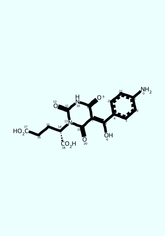 Nc1ccc(C(O)=C2C(=O)NC(=O)N([C@@H](CCC(=O)O)C(=O)O)C2=O)cc1